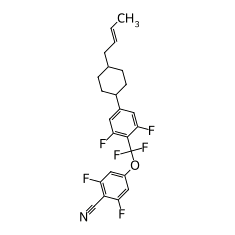 CC=CCC1CCC(c2cc(F)c(C(F)(F)Oc3cc(F)c(C#N)c(F)c3)c(F)c2)CC1